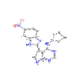 O=[N+]([O-])c1ccc2nc(-c3c[nH]c4ncnc(NC5CCCC5)c34)[nH]c2c1